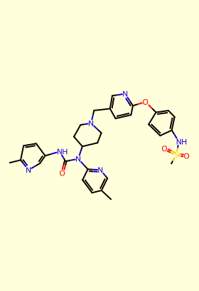 Cc1ccc(N(C(=O)Nc2ccc(C)nc2)C2CCN(Cc3ccc(Oc4ccc(NS(C)(=O)=O)cc4)nc3)CC2)nc1